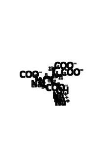 O=C([O-])CN(CC(=O)[O-])CC(CCO)N(CC(=O)[O-])CC(=O)[O-].[Na+].[Na+].[Na+].[Na+]